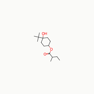 CCC(C)C(=O)OC1CCC(O)(C(C)(C)C)CC1